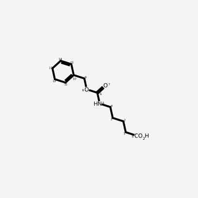 O=C(O)CCCCNC(=O)OCC1=CCCC=C1